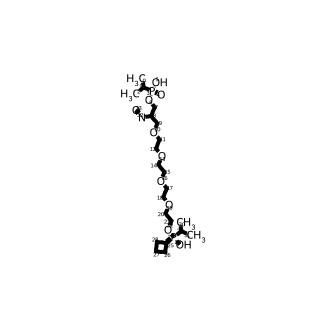 CC(C)P(=O)(O)OCC(COCCOCCOCCOCCOP(O)(=C1CCC1)C(C)C)N=O